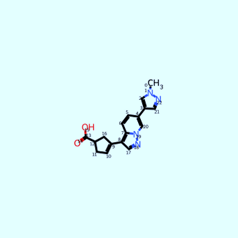 Cn1cc(-c2ccc3c(C4=CCC(C(=O)O)C4)cnn3c2)cn1